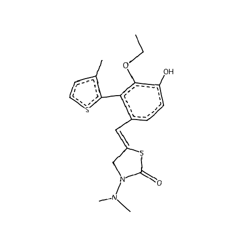 CCOc1c(O)ccc(C=C2CN(N(C)C)C(=O)S2)c1-c1sccc1C